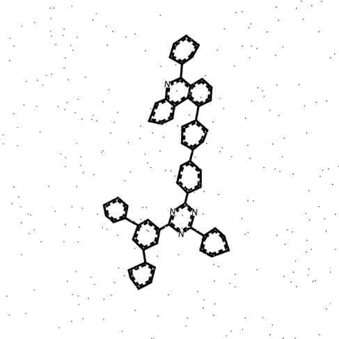 c1ccc(-c2cc(-c3ccccc3)cc(-c3nc(-c4ccccc4)nc(-c4ccc(-c5ccc(-c6cccc7c(-c8ccccc8)nc8ccccc8c67)cc5)cc4)n3)c2)cc1